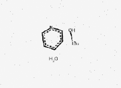 CC(C)(C)O.O.c1ccncc1